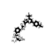 CC(C)(CO)NS(=O)(=O)c1cccc(NC(=O)Oc2cnn3c(C(F)(F)F)cc(-c4ccc(C(F)(F)F)cc4)nc23)c1